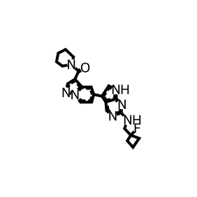 O=C(c1cnn2ccc(-c3c[nH]c4nc(NCC5(F)CCC5)ncc34)cc12)N1CCCCC1